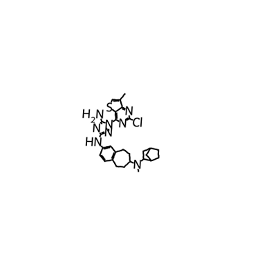 Cc1csc2c(-n3nc(Nc4ccc5c(c4)CCC(N(C)C4CC6CCC4C6)CC5)nc3N)nc(Cl)nc12